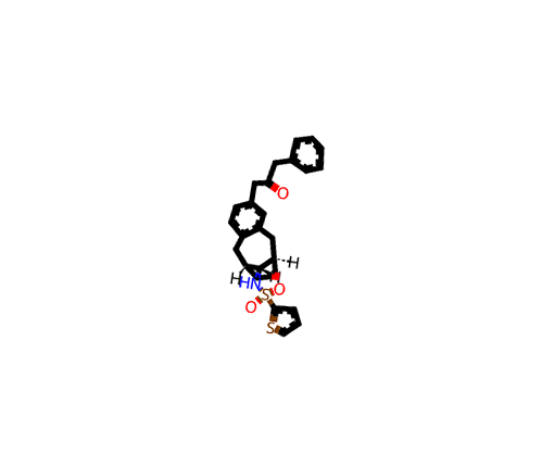 O=C(Cc1ccccc1)Cc1ccc2c(c1)C[C@H]1CC[C@@H](C2)[C@H]1NS(=O)(=O)c1cccs1